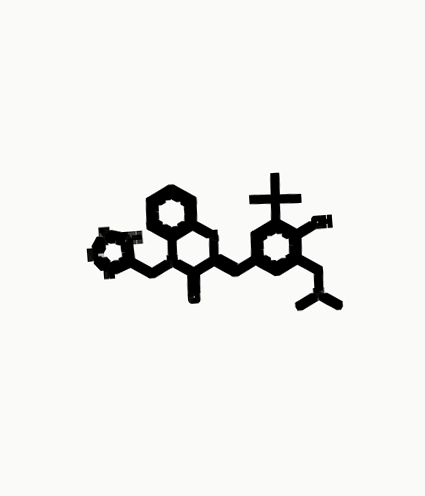 CN(C)Cc1cc(C=C2Sc3ccccc3N(Cc3nnn[nH]3)C2=O)cc(C(C)(C)C)c1O